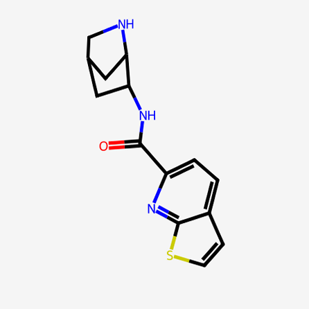 O=C(NC1CC2CNC1C2)c1ccc2ccsc2n1